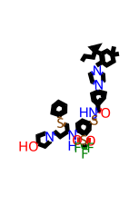 CCCC1(C2=C(CN3CCN(c4ccc(C(=O)NSc5ccc(NC(CCN6CCC(O)CC6)CSc6ccccc6)c(S(=O)(=O)C(F)(F)F)c5)cc4)CC3)CCC(C)(C)C2)CC1